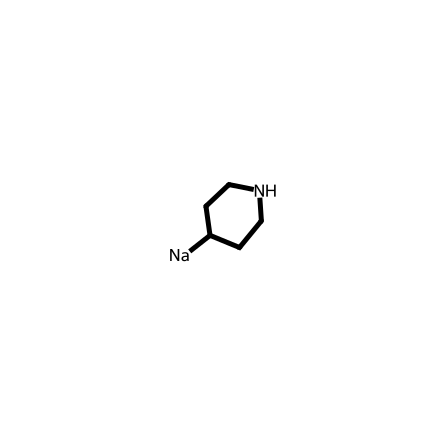 [Na][CH]1CCNCC1